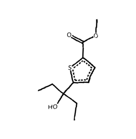 CCC(O)(CC)c1ccc(C(=O)OC)s1